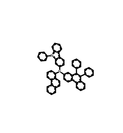 c1ccc(-c2c(-c3ccccc3)c3cc(N(c4ccc5c6ccccc6n(-c6ccccc6)c5c4)c4cccc5c4ccc4ccccc45)ccc3c3ccccc23)cc1